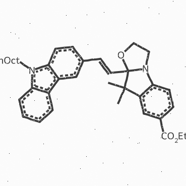 CCCCCCCCn1c2ccccc2c2cc(C=CC34OCCN3c3ccc(C(=O)OCC)cc3C4(C)C)ccc21